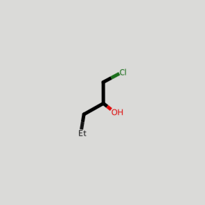 CCCC(O)CCl